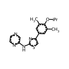 Cc1cc(-c2csc(Nc3cnccn3)n2)cc(C)c1OC(C)C